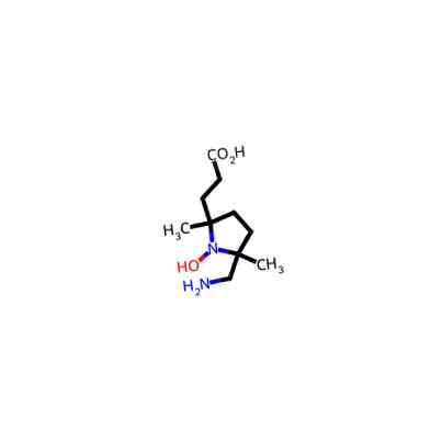 CC1(CN)CCC(C)(CCC(=O)O)N1O